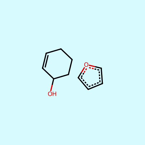 OC1C=CCCC1.c1ccoc1